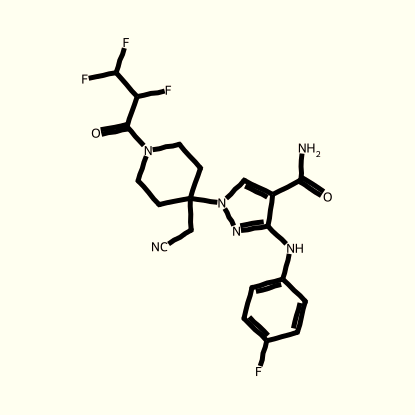 N#CCC1(n2cc(C(N)=O)c(Nc3ccc(F)cc3)n2)CCN(C(=O)C(F)C(F)F)CC1